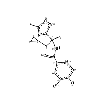 Cc1nc(C(C)(CC2CC2)NC(=O)c2cc(Cl)c(Cl)cn2)no1